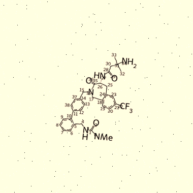 CNC(=O)NCc1ccccc1-c1ccc(CN2Cc3ccc(C(F)(F)F)cc3C[C@@H](NC(=O)CC(C)(C)N)C2=O)cc1